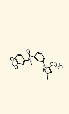 Cc1cc(C(=O)O)n(-c2cccc(C(=O)N(C)c3ccc4c(c3)OCO4)c2)n1